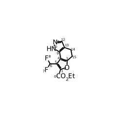 CCOC(=O)c1oc2c(c1C(F)F)-c1[nH]ncc1CC2